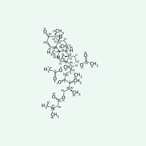 C=C(C(=O)[C@H](OC(C)=O)[C@@H](C)[C@H]1[C@@H](OC(C)=O)C[C@@]2(C)[C@@H]3CC[C@H]4[C@H](C)C(=O)C=C[C@]4(C)C3(C)CC[C@]12C)[C@@H](C)COC(=O)CN(C)C